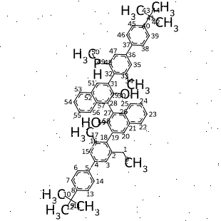 CCc1cc(-c2ccc(C(C)(C)C)cc2)cc(C)c1-c1cc2ccccc2c(-c2c(O)c(-c3c(C)cc(-c4ccc(C(C)(C)C)cc4)cc3PC)cc3ccccc23)c1O